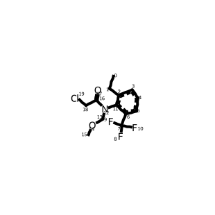 CCc1cccc(C(F)(F)F)c1N(COC)C(=O)CCl